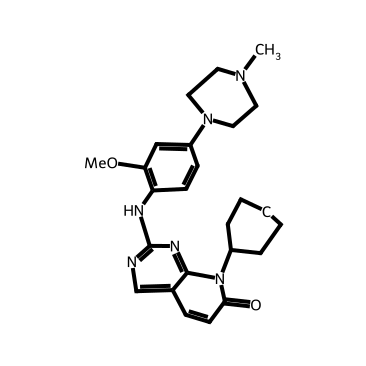 COc1cc(N2CCN(C)CC2)ccc1Nc1ncc2ccc(=O)n(C3CCCCC3)c2n1